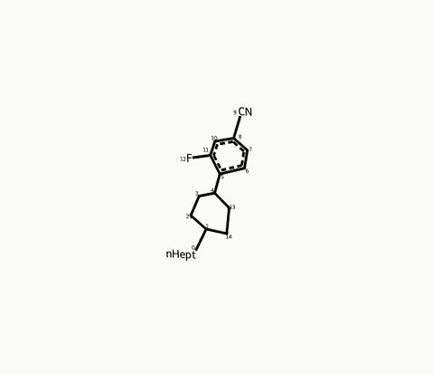 CCCCCCCC1[CH]CC(c2ccc(C#N)cc2F)CC1